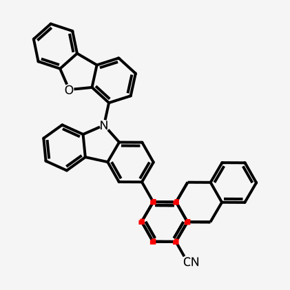 N#Cc1ccc(-c2ccc3c(c2)c2ccccc2n3-c2cccc3c2oc2ccccc23)c2c1C1c3ccccc3C2c2ccccc21